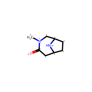 CN1CC2CCC(CC1=O)N2